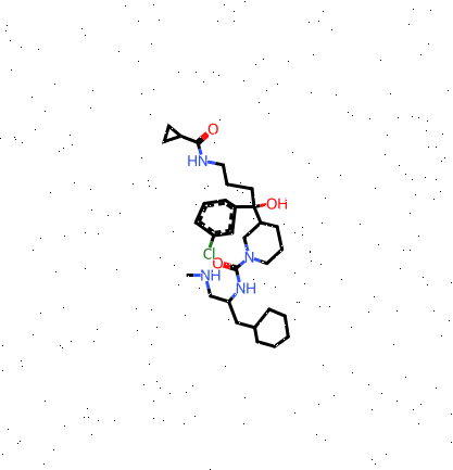 CNCC(CC1CCCCC1)NC(=O)N1CCCC(C(O)(CCCNC(=O)C2CC2)c2cccc(Cl)c2)C1